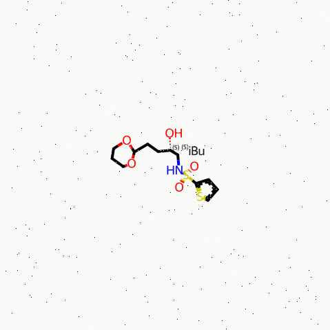 CC[C@H](C)C(NS(=O)(=O)c1cccs1)[C@@H](O)CCC1OCCCO1